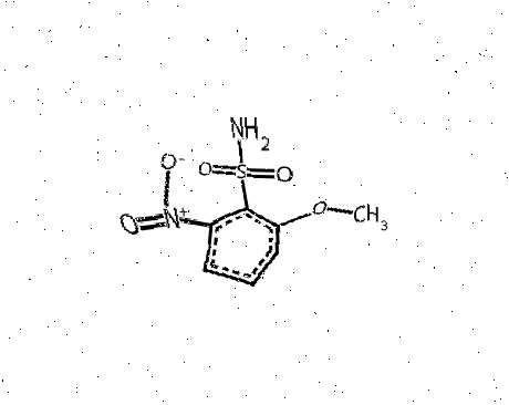 COc1cccc([N+](=O)[O-])c1S(N)(=O)=O